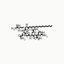 CCCCCCCCCCCCCCCC(=O)N[C@@H](CCCNC(=N)N)C(=O)N[C@@H](CCC(N)=O)C(=O)N[C@@H](C)C(=O)N[C@@H](CCC(N)=O)C(=O)N[C@@H](CCCNC(=N)N)C(=O)NC